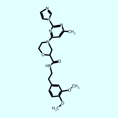 COc1ccc(CCNC(=O)C2CN(c3cc(C)nc(-n4ccnc4)n3)CCO2)cc1OC